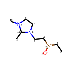 CC[S+]([O-])CCN1CCN(C)C1C